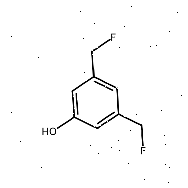 Oc1cc(CF)cc(CF)c1